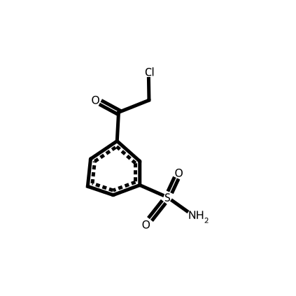 NS(=O)(=O)c1cccc(C(=O)CCl)c1